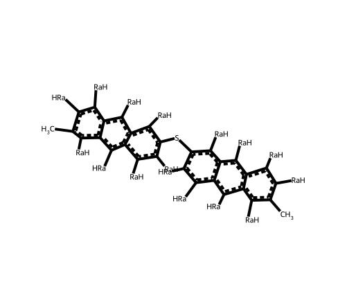 Cc1[c]([RaH])[c]([RaH])c2[c]([RaH])c3[c]([RaH])c(Sc4[c]([RaH])[c]([RaH])c5[c]([RaH])c6[c]([RaH])c(C)[c]([RaH])[c]([RaH])c6[c]([RaH])c5[c]4[RaH])[c]([RaH])[c]([RaH])c3[c]([RaH])c2[c]1[RaH]